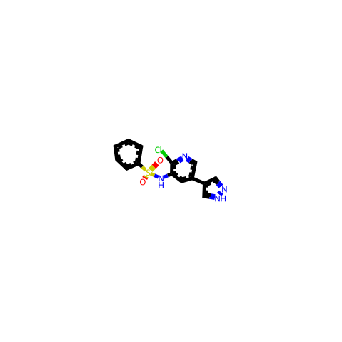 O=S(=O)(Nc1cc(-c2cn[nH]c2)cnc1Cl)c1ccccc1